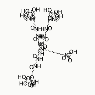 COC[C@@H]1CC(O)CN1C(=O)CCCCCCCCCCC(=O)NC(COCCC(=O)NCCCNC(=O)CCCCOC1OC(CO)C(O)C(O)C1NC(C)=O)(COCCC(=O)NCCCNC(=O)CCCCOC1OC(CO)C(O)C(O)C1NC(C)=O)COCCC(=O)NCCCNC(=O)CCCCOC1OC(CO)C(O)C(O)C1NC(C)=O